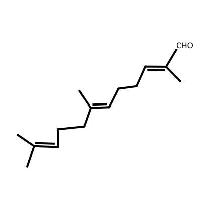 CC(C)=CCC/C(C)=C/CC/C=C(\C)C=O